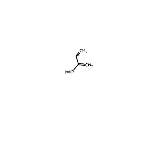 C=CC(=C)NC